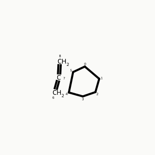 C1CCCCC1.C=C=C